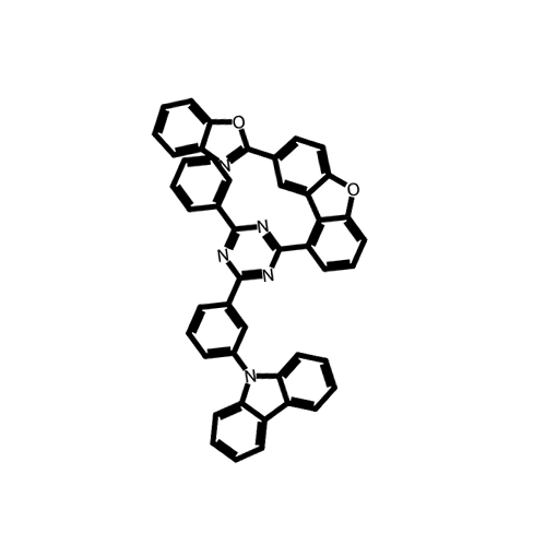 c1ccc(-c2nc(-c3cccc(-n4c5ccccc5c5ccccc54)c3)nc(-c3cccc4oc5ccc(-c6nc7ccccc7o6)cc5c34)n2)cc1